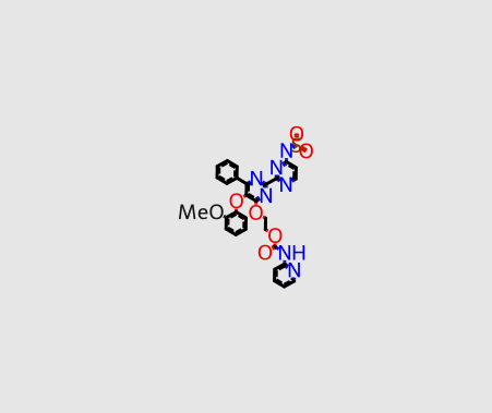 COc1ccccc1Oc1c(OCCOC(=O)Nc2ccccn2)nc(-c2nccc(N=S(=O)=O)n2)nc1-c1ccccc1